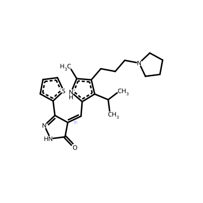 Cc1[nH]c(/C=C2/C(=O)NN=C2c2cccs2)c(C(C)C)c1CCCN1CCCC1